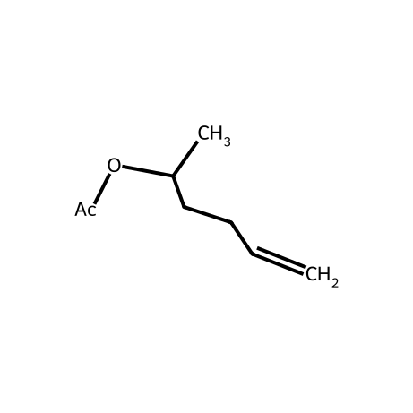 C=CCCC(C)OC(C)=O